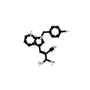 N#C/C(=C\c1cn(Cc2ccc(F)cc2)c2ncccc12)C(O)O